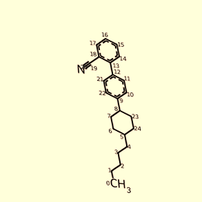 CCCCCC1CCC(c2ccc(-c3ccccc3C#N)cc2)CC1